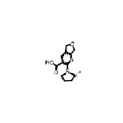 C[C@@H]1CCCN1c1nc2c(cc1C(=O)O)COC2